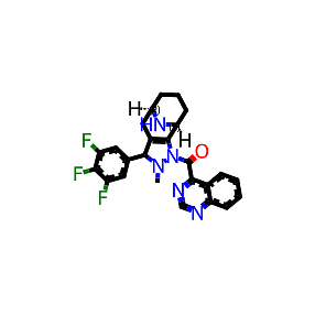 CN1C(c2cc(F)c(F)c(F)c2)C2=C([C@@H]3CCC[C@H](C2)N3)N1C(=O)c1ncnc2ccccc12